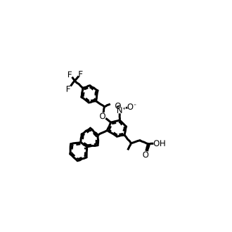 CC(CC(=O)O)c1cc(-c2ccc3ccccc3c2)c(OC(C)c2ccc(C(F)(F)F)cc2)c([N+](=O)[O-])c1